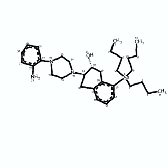 CCC[CH2][Sn]([CH2]CCC)([CH2]CCC)[c]1cccc2c1C[C@@H](O)[C@H](N1CCN(c3ccccc3N)CC1)C2